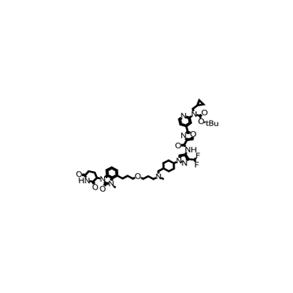 CN(CCCOCCCc1cccc2c1n(C)c(=O)n2C1CCC(=O)NC1=O)CC1CCC(n2cc(NC(=O)c3coc(-c4ccnc(N(CC5CC5)C(=O)OC(C)(C)C)c4)n3)c(C(F)F)n2)CC1